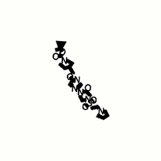 CC1(OC(=O)N2CCC(COc3cnc(N4CCN(S(=O)(=O)CCN5CCCC5)CC4=O)cn3)CC2)CC1